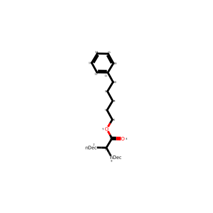 CCCCCCCCCCC(CCCCCCCCCC)C(=O)OCCCCCc1ccccc1